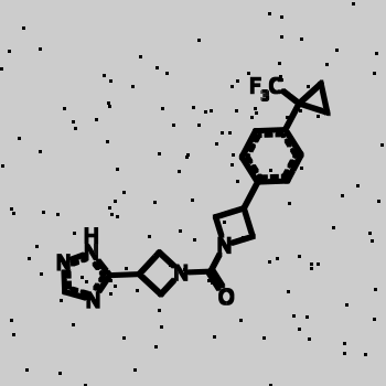 O=C(N1CC(c2ccc(C3(C(F)(F)F)CC3)cc2)C1)N1CC(c2ncn[nH]2)C1